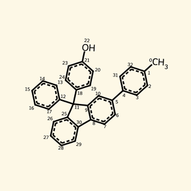 Cc1ccc(-c2ccc3c(c2)C(c2ccccc2)(c2ccc(O)cc2)c2ccccc2-3)cc1